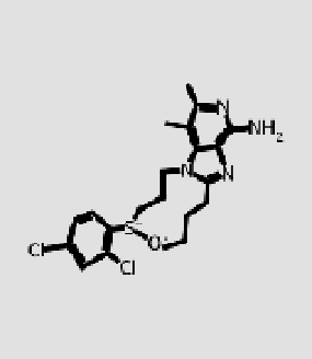 CCCCc1nc2c(N)nc(C)c(C)c2n1CCC[S+]([O-])c1ccc(Cl)cc1Cl